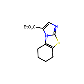 CCOC(=O)c1cnc2sc3c(n12)CCCC3